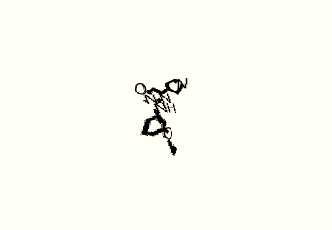 C#CCOc1cccc(CNc2nc(-c3ccncc3)cc(=O)n2C)c1